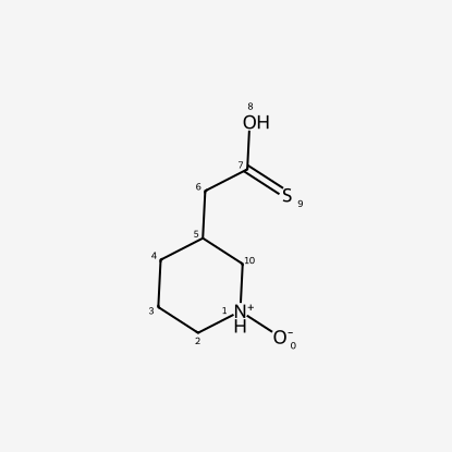 [O-][NH+]1CCCC(CC(O)=S)C1